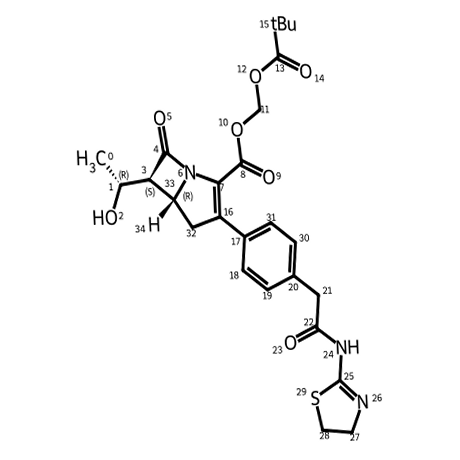 C[C@@H](O)[C@H]1C(=O)N2C(C(=O)OCOC(=O)C(C)(C)C)=C(c3ccc(CC(=O)NC4=NCCS4)cc3)C[C@H]12